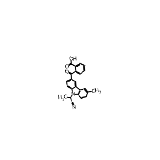 Cc1ccc2c(c1)c1cc(C(=O)c3ccccc3C(=O)O)ccc1n2C(C)C#N